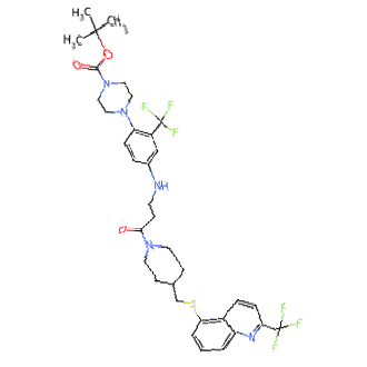 CC(C)(C)OC(=O)N1CCN(c2ccc(NCCC(=O)N3CCC(CSc4cccc5nc(C(F)(F)F)ccc45)CC3)cc2C(F)(F)F)CC1